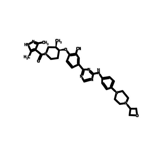 Cc1n[nH]c(C)c1C(=O)N1CC[C@H](Oc2ccc(-c3ncnc(Nc4ccc(N5CCN(C6COC6)CC5)cc4)n3)cc2C#N)[C@H](C)C1